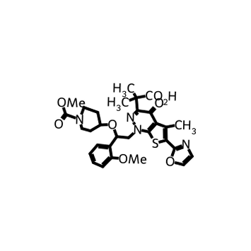 COC(=O)N1CCC(OC(Cn2nc(C(C)(C)C(=O)O)c(=O)c3c(C)c(-c4ncco4)sc32)c2ccccc2OC)CC1